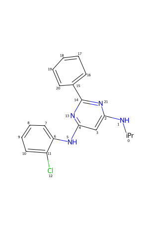 CC(C)Nc1cc(Nc2ccccc2Cl)nc(-c2ccccc2)n1